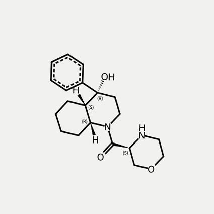 O=C([C@@H]1COCCN1)N1CC[C@](O)(c2ccccc2)[C@H]2CCCC[C@H]21